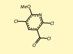 COc1nc(Cl)c(C(=O)Cl)cc1Cl